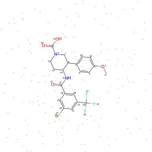 COc1ccc(C2CN(C(=O)O)CCC2NC(=O)c2cc(Br)cc(C(F)(F)F)c2)cc1